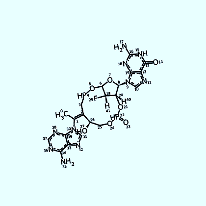 C/C(=C1\CPOC2O[C@@H](n3cnc4c(=O)[nH]c(N)nc43)[C@H](O[PH](=O)OC[C@H]1O)[C@@H]2F)n1cnc2c(N)ncnc21